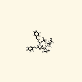 CC(=O)N[C@](C)(CCc1c(C(=CCCCc2ccccc2)OC(=O)CCCCc2ccccc2)ccn1C)COC(C)=O